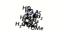 C=C(C(C)=O)/C(O)=C(/[C@H](CCO)O[C@H]1CC2[C@H](O[C@@H]3[C@@H](OC)OCCN23)[C@H](C)O1)C(C)(C)[C@@H](C)CC